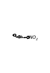 O=[N+]([O-])c1ccc(C#CCCN2CCC(Cc3ccccc3)CC2)cc1